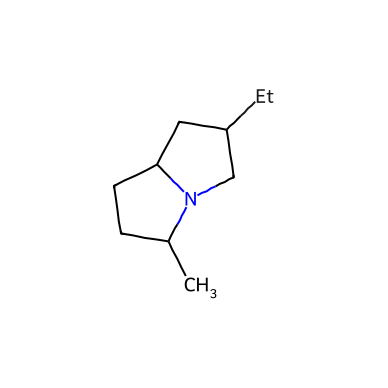 CCC1CC2CCC(C)N2C1